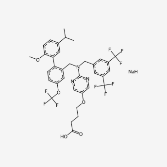 COc1ccc(C(C)C)cc1-c1ccc(OC(F)(F)F)cc1CN(Cc1cc(C(F)(F)F)cc(C(F)(F)F)c1)c1ncc(OCCCC(=O)O)cn1.[NaH]